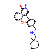 CC1(CNCc2ccc(-c3c[nH]c(=O)c4cccc(O)c34)cc2)CCCCC1